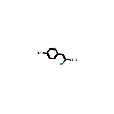 Cc1ccc(C=C(Br)C=O)cc1